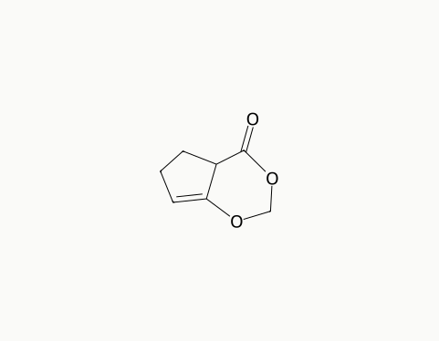 O=C1OCOC2=CCCC12